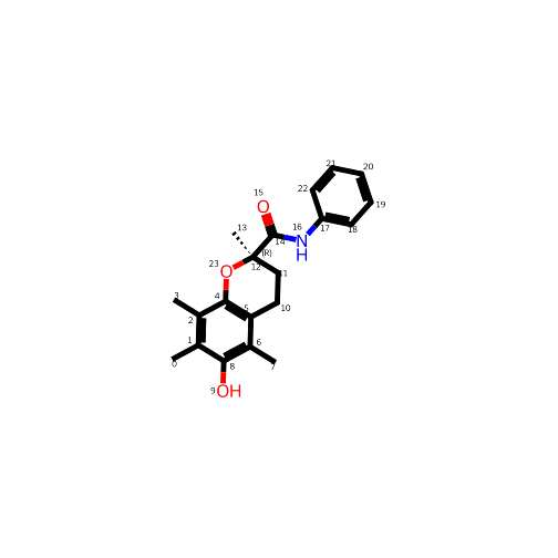 Cc1c(C)c2c(c(C)c1O)CC[C@](C)(C(=O)Nc1ccccc1)O2